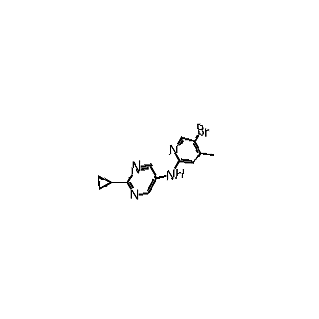 Cc1cc(Nc2cnc(C3CC3)nc2)ncc1Br